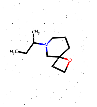 CCC(C)N1CCCC2(CCO2)C1